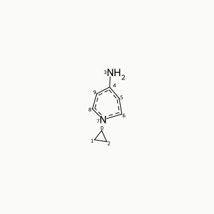 C1CC1.Nc1ccncc1